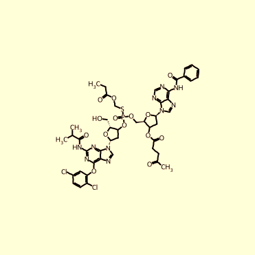 CCC(=O)OCSP(=O)(OC[C@H]1O[C@@H](n2cnc3c(NC(=O)c4ccccc4)ncnc32)CC1OC(=O)CCC(C)=O)OC1C[C@H](n2cnc3c(Oc4cc(Cl)ccc4Cl)nc(NC(=O)C(C)C)nc32)O[C@@H]1CO